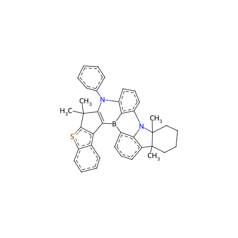 CC1(C)C2=C(B3c4cccc5c4N(c4cccc(c43)N2c2ccccc2)C2(C)CCCCC52C)c2c1sc1ccccc21